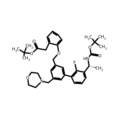 C[C@@H](NC(=O)OC(C)(C)C)c1cccc(-c2cc(COc3ccccc3CC(=O)OC(C)(C)C)cc(CN3CCOCC3)c2)c1F